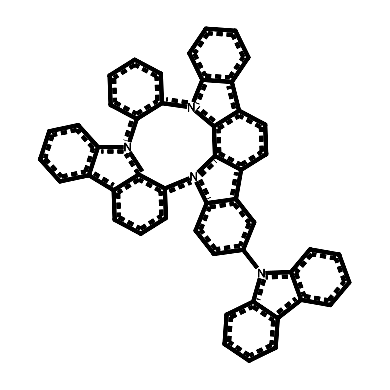 c1ccc2c(c1)c1ccccc1n2-c1ccc2c(c1)c1ccc3c4ccccc4n4c5ccccc5n5c6ccccc6c6cccc(c65)n2c1c34